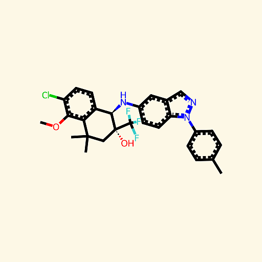 COc1c(Cl)ccc2c1C(C)(C)C[C@](O)(C(F)(F)F)[C@@H]2Nc1ccc2c(cnn2-c2ccc(C)cc2)c1